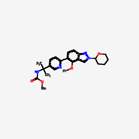 CC(C)Oc1c(-c2ccc(C(C)(C)NC(=O)OC(C)(C)C)cn2)ccc2nn(C3CCCCO3)cc12